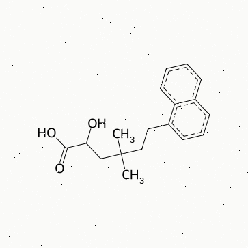 CC(C)(CCc1cccc2ccccc12)CC(O)C(=O)O